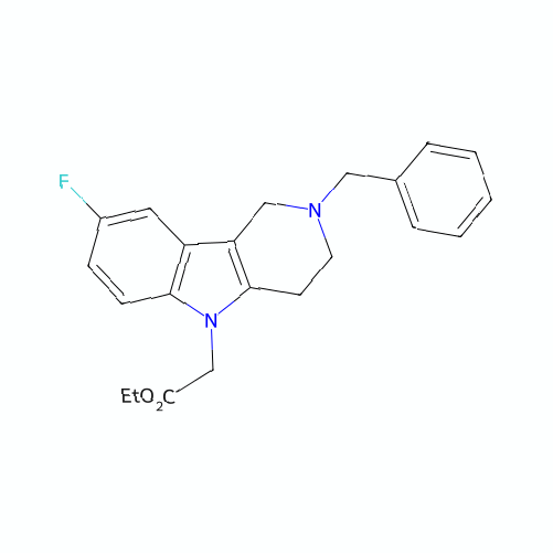 CCOC(=O)Cn1c2c(c3cc(F)ccc31)CN(Cc1ccccc1)CC2